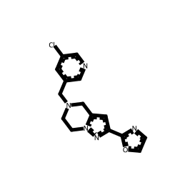 Clc1cncc(CN2CCn3nc(-c4ncco4)cc3C2)c1